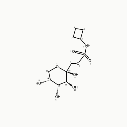 O=S(=O)(NC1CCC1)OC[C@@]1(O)OC[C@@H](O)[C@@H](O)[C@@H]1O